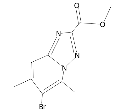 COC(=O)c1nc2cc(C)c(Br)c(C)n2n1